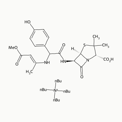 CCCC[N+](CCCC)(CCCC)CCCC.COC(=O)C=C(C)NC(C(=O)N[C@@H]1C(=O)N2[C@@H]1SC(C)(C)[C@@H]2C(=O)O)c1ccc(O)cc1